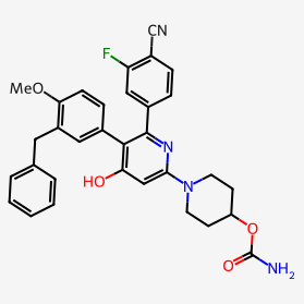 COc1ccc(-c2c(O)cc(N3CCC(OC(N)=O)CC3)nc2-c2ccc(C#N)c(F)c2)cc1Cc1ccccc1